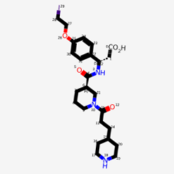 O=C(O)C[C@H](NC(=O)[C@@H]1CCCN(C(=O)CCC2CCNCC2)C1)c1ccc(OCCI)cc1